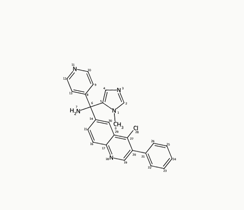 Cn1cncc1C(N)(c1ccncc1)c1ccc2ncc(-c3ccccc3)c(Cl)c2c1